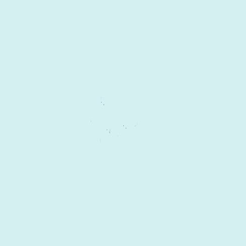 Brc1ccc(N(I)C2CCNC2)nc1